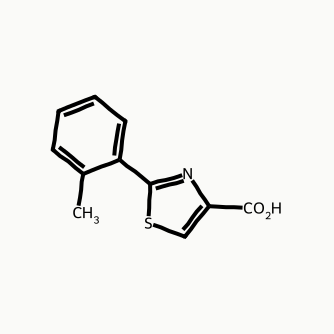 Cc1ccccc1-c1nc(C(=O)O)cs1